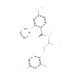 CCN(C(=O)c1ccc(OC)cc1-n1nccn1)C(C)COc1ncc(C(F)(F)F)cc1F